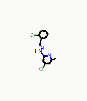 Cc1cc(Cl)cc(N/N=C/c2ccccc2Cl)n1